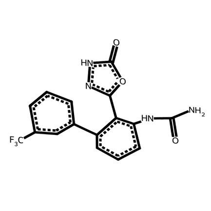 NC(=O)Nc1cccc(-c2cccc(C(F)(F)F)c2)c1-c1n[nH]c(=O)o1